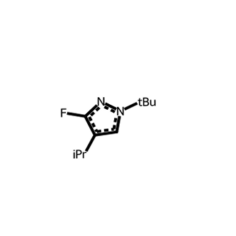 CC(C)c1cn(C(C)(C)C)nc1F